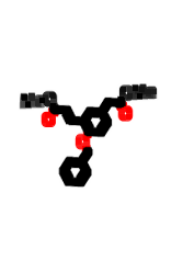 COC(=O)C=Cc1cc(CC(=O)OC)ccc1OCc1ccccc1